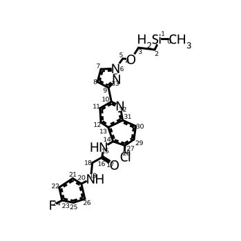 C[SiH2]CCOCn1ccc(-c2ccc3c(NC(=O)CNc4ccc(F)cc4)c(Cl)ccc3n2)n1